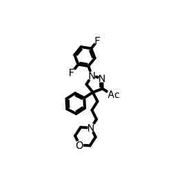 CC(=O)C1=NN(c2cc(F)ccc2F)CC1(CCCN1CCOCC1)c1ccccc1